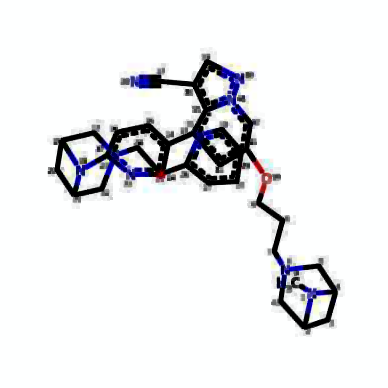 CN1C2CC1CN(CCCOc1cc(-c3ccc(N4C5CC4CN(CCc4ccccn4)C5)nc3)c3c(C#N)cnn3c1)C2